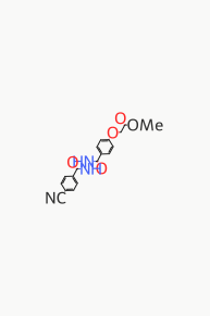 COC(=O)COc1ccc(C(=O)NNC(=O)c2ccc(C#N)cc2)cc1